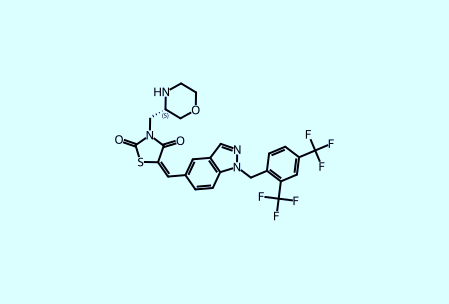 O=C1SC(=Cc2ccc3c(cnn3Cc3ccc(C(F)(F)F)cc3C(F)(F)F)c2)C(=O)N1C[C@H]1COCCN1